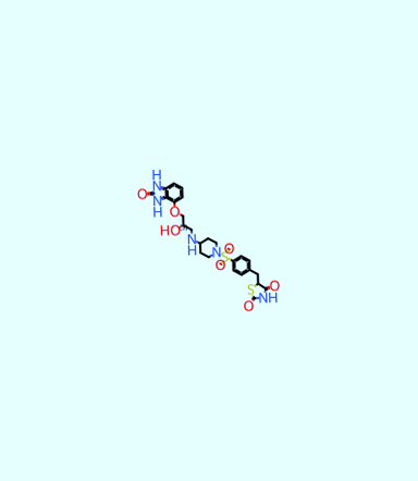 O=C1NC(=O)C(Cc2ccc(S(=O)(=O)N3CCC(NC[C@H](O)COc4cccc5[nH]c(=O)[nH]c45)CC3)cc2)S1